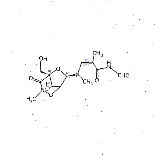 C/C(=C/N(C)[C@@H]1O[C@@]2(CO)C(=O)N(C)OC1C2O)C(=O)NC=O